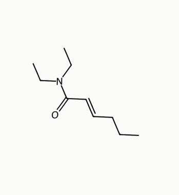 CCCC=CC(=O)N(CC)CC